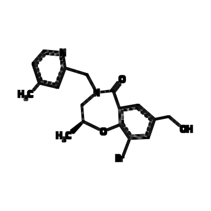 Cc1ccnc(CN2C[C@H](C)Oc3c(Br)cc(CO)cc3C2=O)c1